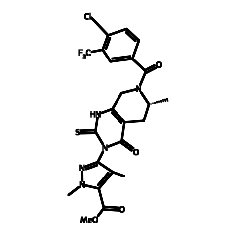 COC(=O)c1c(C)c(-n2c(=S)[nH]c3c(c2=O)C[C@@H](C)N(C(=O)c2ccc(Cl)c(C(F)(F)F)c2)C3)nn1C